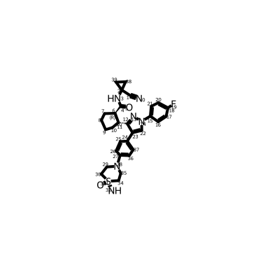 N#CC1(NC(=O)[C@@H]2CCCC[C@H]2c2nn(-c3ccc(F)cc3)cc2-c2ccc(N3CCS(=N)(=O)CC3)cc2)CC1